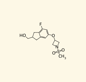 CS(=O)(=O)N1CC(Oc2cc(F)c3c(c2)CC(CO)C3)C1